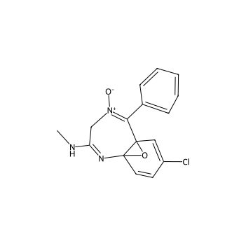 CNC1=NC23C=CC(Cl)=CC2(O3)C(c2ccccc2)=[N+]([O-])C1